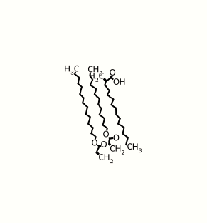 C=C(CCCCCCCCCCCCCC)C(=O)O.C=CC(=O)OCCCCCCCCCCCCC.C=CC(=O)OCCCCCCCCCCCCCCC